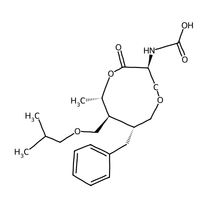 CC(C)COC[C@@H]1[C@@H](Cc2ccccc2)COC[C@H](NC(=O)O)C(=O)O[C@H]1C